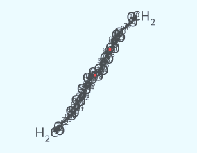 C=CC(=O)OCCCCCCOC(=O)Oc1ccc(C(=O)Oc2ccc(C(=O)Oc3ccc(C(=O)OC4COC5C4OC[C@@H]5OC(=O)c4ccc(OC(=O)c5ccc(OC(=O)c6ccc(OC(=O)OCCCCCCOC(=O)C=C)cc6)cc5)cc4)cc3)cc2)cc1